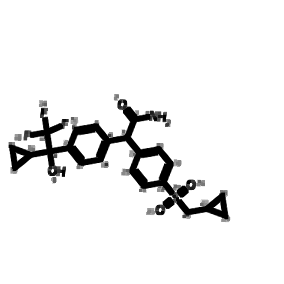 NC(=O)C(c1ccc(C(O)(C2CC2)C(F)(F)F)cc1)c1ccc(S(=O)(=O)CC2CC2)cc1